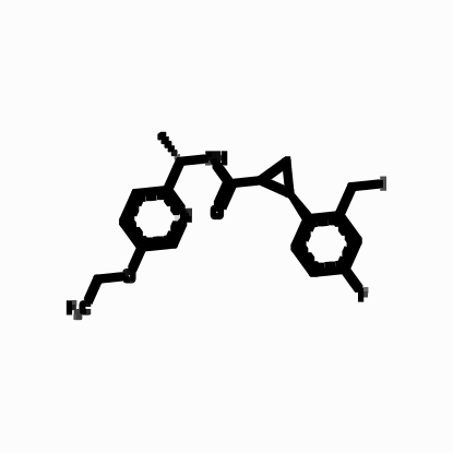 C[C@H](NC(=O)C1C[C@H]1c1ccc(F)cc1CI)c1ccc(OCC(F)(F)F)cn1